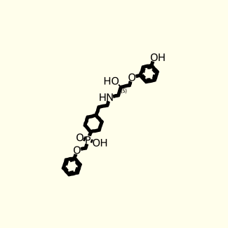 O=P(O)(COc1ccccc1)C1CCC(CCNC[C@H](O)COc2cccc(O)c2)CC1